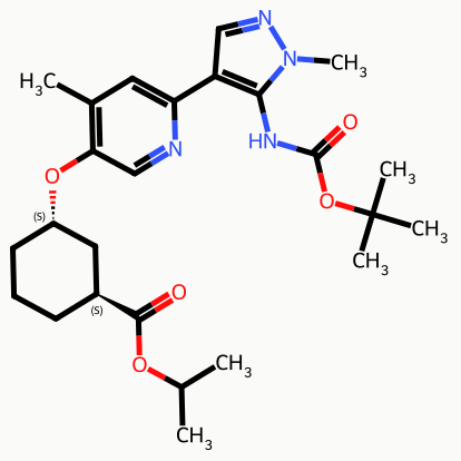 Cc1cc(-c2cnn(C)c2NC(=O)OC(C)(C)C)ncc1O[C@H]1CCC[C@H](C(=O)OC(C)C)C1